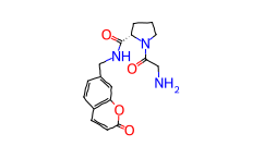 NCC(=O)N1CCC[C@H]1C(=O)NCc1ccc2ccc(=O)oc2c1